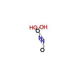 OCc1cc(CCN2CCN(CCCc3ccccc3)CC2)ccc1O